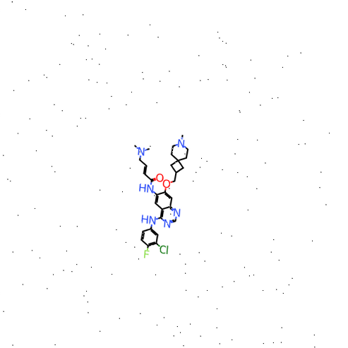 CN(C)CC=CC(=O)Nc1cc2c(Nc3ccc(F)c(Cl)c3)ncnc2cc1OCC1CC2(CCN(C)CC2)C1